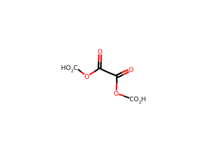 O=C(O)OC(=O)C(=O)OC(=O)O